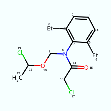 CCc1cccc(CC)c1N(COC(C)Cl)C(=O)CCl